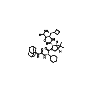 CC1(C)[C@@H]2[C@@H](C(=O)NC(CC3CCC3)C(=O)C(N)=O)N(C(=O)[C@@H](NC(=O)NC34CC5CC(CC(C5)C3)C4)C3CCCCC3)C[C@@H]21